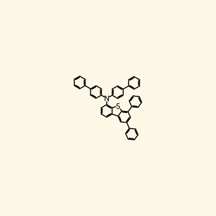 c1ccc(-c2ccc(N(c3ccc(-c4ccccc4)cc3)c3cccc4c3sc3c(-c5ccccc5)cc(-c5ccccc5)cc34)cc2)cc1